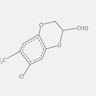 Cc1cc2c(cc1Cl)OC(C=O)CO2